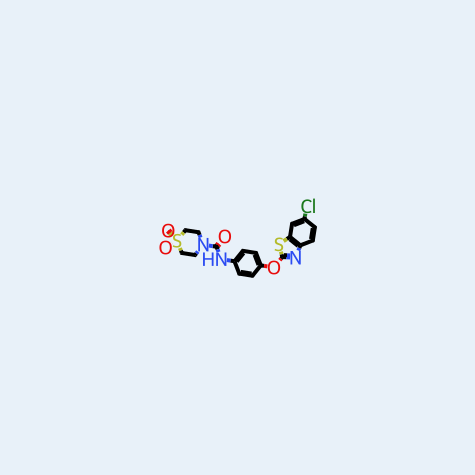 O=C(Nc1ccc(Oc2nc3ccc(Cl)cc3s2)cc1)N1CCS(=O)(=O)CC1